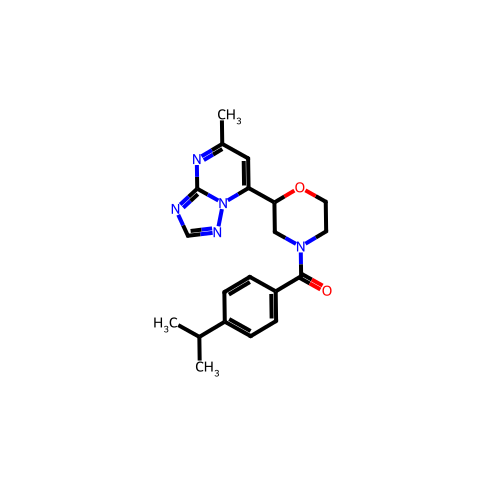 Cc1cc(C2CN(C(=O)c3ccc(C(C)C)cc3)CCO2)n2ncnc2n1